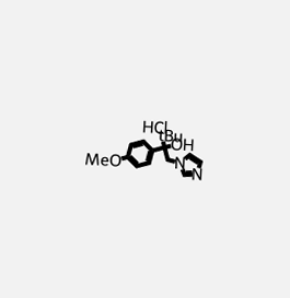 COc1ccc(C(O)(Cn2ccnc2)C(C)(C)C)cc1.Cl